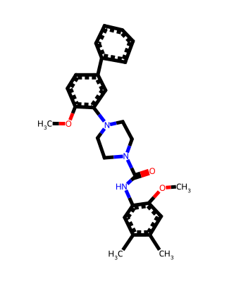 COc1cc(C)c(C)cc1NC(=O)N1CCN(c2cc(-c3ccccc3)ccc2OC)CC1